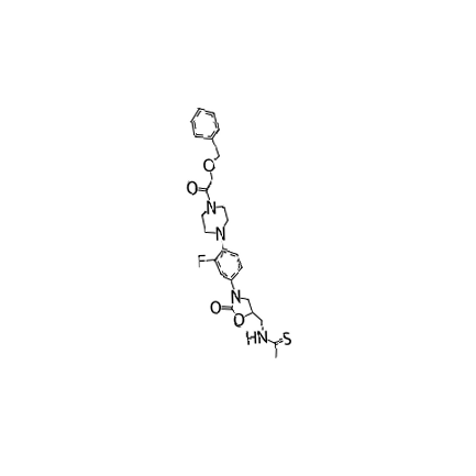 CC(=S)NCC1CN(c2ccc(N3CCN(C(=O)COCc4ccccc4)CC3)c(F)c2)C(=O)O1